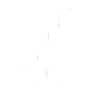 NCCCCCC(N)N=C(N)N